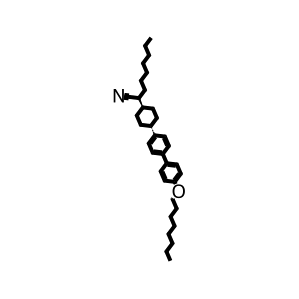 CCCCCCCCOc1ccc(-c2ccc([C@H]3CC[C@H](C(C#N)CCCCCCC)CC3)cc2)cc1